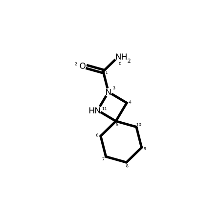 NC(=O)N1CC2(CCCCC2)N1